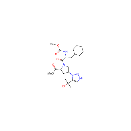 COC(=O)[C@@H]1C[C@H](N2NNC=C2C(C)(C)O)CN1C(=O)[C@@H](CC1CCCCC1)NC(=O)OC(C)(C)C